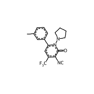 [C-]#[N+]c1c(C(F)(F)F)cc(-c2cccc(C)c2)n(N2CCCC2)c1=O